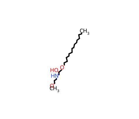 CCCCCCCCCCCCCCCCOCC(O)CNCCCOC